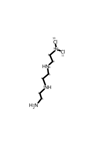 NCCNCCNCCN(Cl)Cl